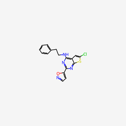 Clc1cc2c(NCCc3ccccc3)nc(-c3ccno3)nc2s1